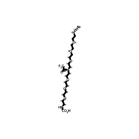 [N-]=[N+]=NCCOCCOCCOCCN(CCOCCOCCOCCNC(=O)O)C(=O)C(F)(F)F